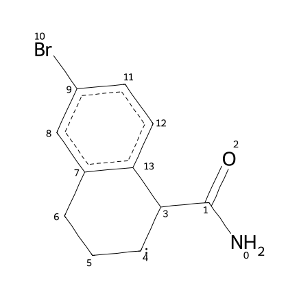 NC(=O)C1[C]CCc2cc(Br)ccc21